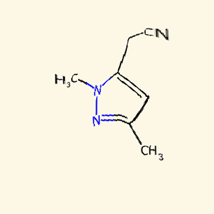 Cc1cc(CC#N)n(C)n1